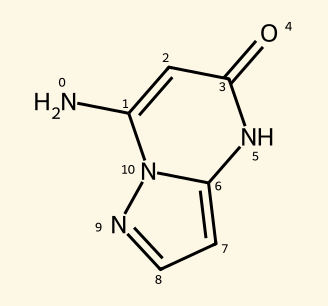 Nc1cc(=O)[nH]c2ccnn12